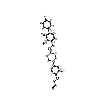 C=CCOc1ccc(C2CCC(OCc3ccc(-c4ccc(C)cc4)c(F)c3F)CC2)cc1F